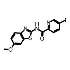 COc1ccc2nc(NC(=O)c3ccc(I)cn3)sc2c1